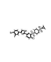 O=S(=O)(c1cc(-c2nc(-c3ccc(Br)c(F)c3)c[nH]2)ccc1Cl)N1CCN(S(=O)(=O)C2CC2)CC1